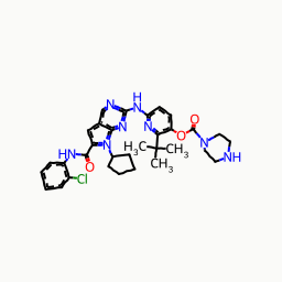 CC(C)(C)c1nc(Nc2ncc3cc(C(=O)Nc4ccccc4Cl)n(C4CCCC4)c3n2)ccc1OC(=O)N1CCNCC1